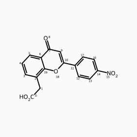 O=C(O)Cc1cccc2c(=O)cc(-c3ccc([N+](=O)[O-])cc3)oc12